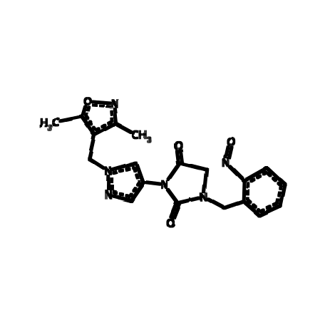 Cc1noc(C)c1Cn1cc(N2C(=O)CN(Cc3ccccc3N=O)C2=O)cn1